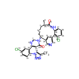 C[C@@H]1CCC[C@H](n2cnc(-c3cc(Cl)ccc3-n3cc(C(F)(F)F)nn3)cc2=O)c2cncc(c2)-c2c(Cl)cccc2NC1=O